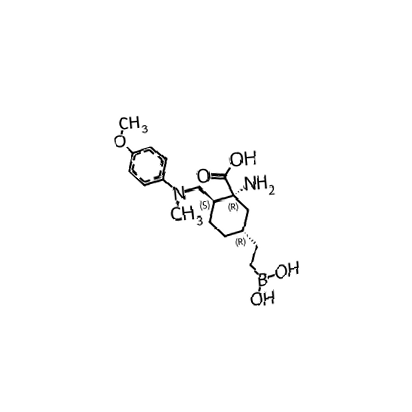 COc1ccc(N(C)C[C@@H]2CC[C@@H](CCB(O)O)C[C@]2(N)C(=O)O)cc1